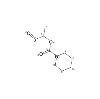 CC(C=O)OC(=O)N1CCCCC1